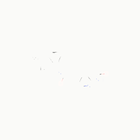 COc1cccc(CN(C)C(=O)CCc2cnc3c(c2)CCC(=O)N3)c1OCC(C)C